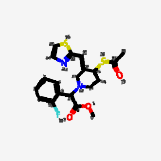 COC(=O)C(c1ccccc1F)N1CCC(SC(C)=O)/C(=C/c2nccs2)C1